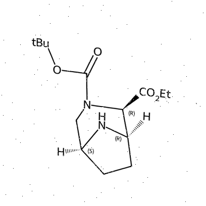 CCOC(=O)[C@H]1[C@H]2CC[C@@H](CN1C(=O)OC(C)(C)C)N2